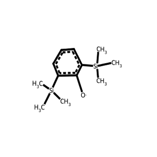 C[Si](C)(C)c1cccc([Si](C)(C)C)c1[O]